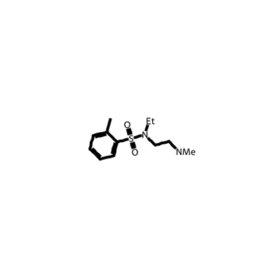 CCN(CCNC)S(=O)(=O)c1ccccc1C